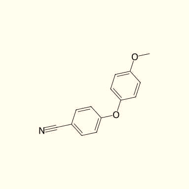 COc1ccc(Oc2ccc(C#N)cc2)cc1